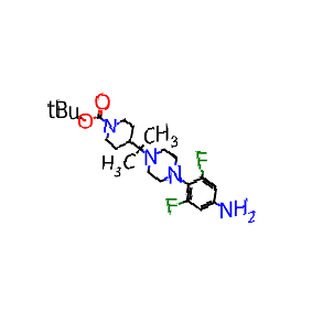 CC(C)(C)OC(=O)N1CCC(C(C)(C)N2CCN(c3c(F)cc(N)cc3F)CC2)CC1